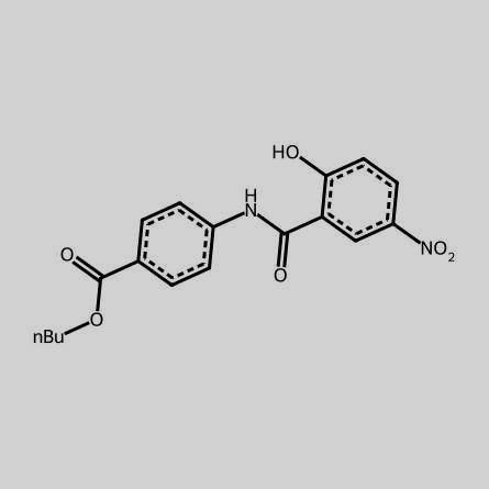 CCCCOC(=O)c1ccc(NC(=O)c2cc([N+](=O)[O-])ccc2O)cc1